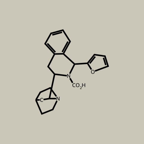 O=C(O)N1C(c2ccco2)c2ccccc2CC1C1CC2CCN1CC2